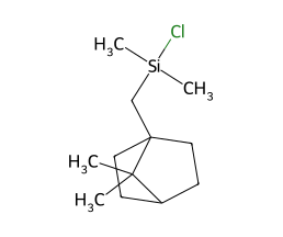 CC1(C)C2CCC1(C[Si](C)(C)Cl)CC2